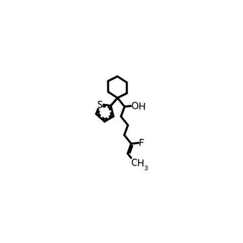 CC=C(F)CCCC(O)C1(c2cccs2)CCCCC1